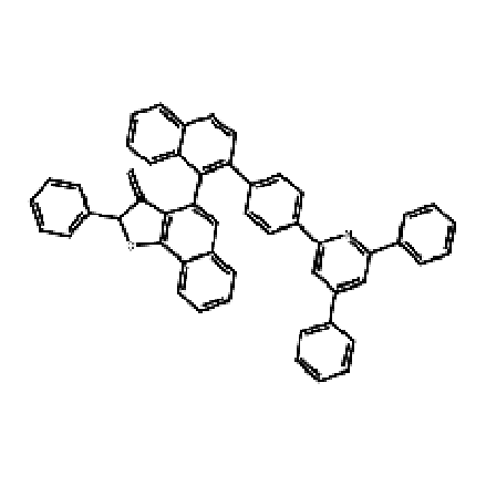 C=C1c2c(-c3c(-c4ccc(-c5cc(-c6ccccc6)cc(-c6ccccc6)n5)cc4)ccc4ccccc34)cc3ccccc3c2OC1c1ccccc1